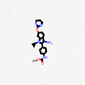 CC(C)OC(=O)Nc1ccc(-c2c(N)c3ccc(Oc4ncccn4)cc3n2C2CC2)cc1